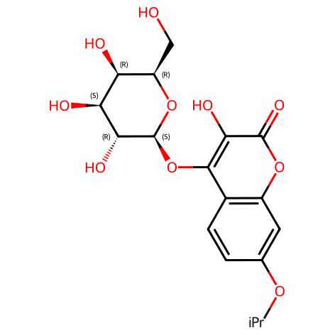 CC(C)Oc1ccc2c(O[C@@H]3O[C@H](CO)[C@H](O)[C@H](O)[C@H]3O)c(O)c(=O)oc2c1